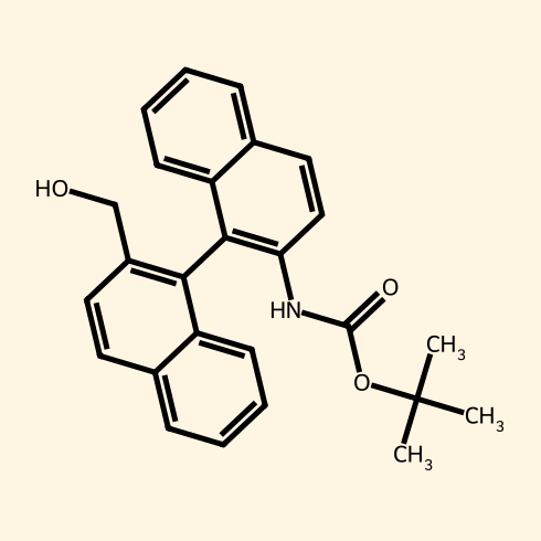 CC(C)(C)OC(=O)Nc1ccc2ccccc2c1-c1c(CO)ccc2ccccc12